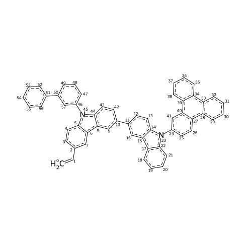 C=Cc1ccc2c(c1)c1cc(-c3ccc4c(c3)c3ccccc3n4-c3ccc4c5ccccc5c5ccccc5c4c3)ccc1n2-c1cccc(-c2ccccc2)c1